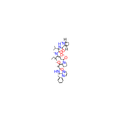 CC[C@H](C)[C@@H]([C@H](CC(=O)N1CCC[C@H]1[C@H](OC)[C@@H](C)C(=O)N[C@@H](Cc1ccccc1)c1ncccn1)OC)N(C)C(=O)[C@@H](NC(=O)[C@@H]1[C@H]2CC[C@H](C2)N1C)C(C)C